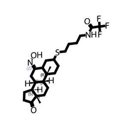 C[C@]12CCC(SCCCCNC(=O)C(F)(F)F)CC1/C(=N\O)C[C@@H]1[C@H]2CC[C@]2(C)C(=O)CC[C@@H]12